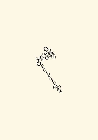 C[C@@H](C(=O)N[C@H](C(=O)N1CCC[C@H]1c1nc(C(=O)c2cccc(OCCOCCOCCOCCOCCNC(=O)OC(C)(C)C)c2)cs1)C1CCCCC1)N(C)C(=O)O